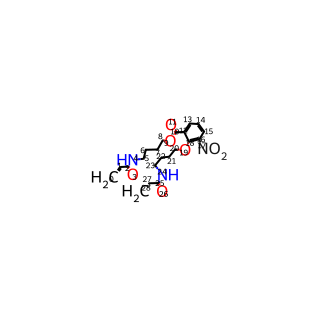 C=CC(=O)NCCCCOC(=O)c1cccc([N+](=O)[O-])c1OCCCCNC(=O)C=C